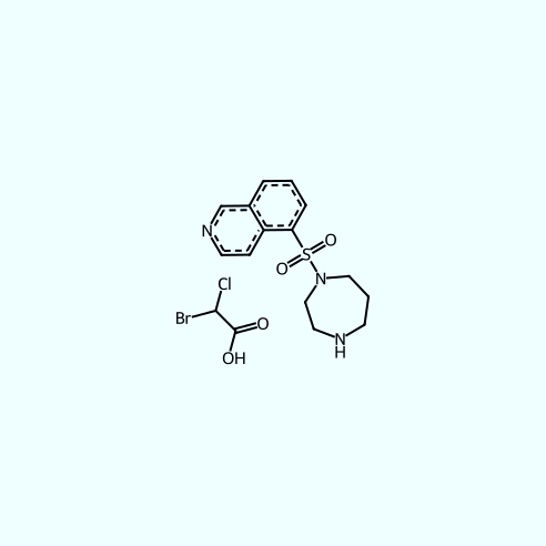 O=C(O)C(Cl)Br.O=S(=O)(c1cccc2cnccc12)N1CCCNCC1